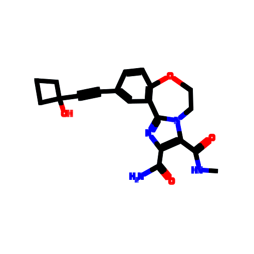 CNC(=O)c1c(C(N)=O)nc2n1CCOc1ccc(C#CC3(O)CCC3)cc1-2